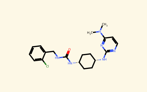 CN(C)c1ccnc(N[C@H]2CC[C@@H](NC(=O)NCc3ccccc3Cl)CC2)n1